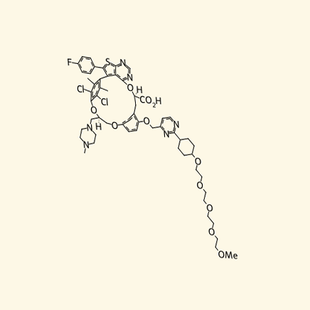 COCCOCCOCCOCCOC1CCC(c2nccc(COc3ccc4cc3C[C@H](C(=O)O)Oc3ncnc5sc(-c6ccc(F)cc6)c(c35)-c3c(C)c(Cl)c(c(Cl)c3C)O[C@H](CN3CCN(C)CC3)CO4)n2)CC1